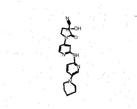 N#C[C@@]1(O)CCN(c2ccnc(Nc3ccc(N4CCCCC4)cn3)c2)C1=O